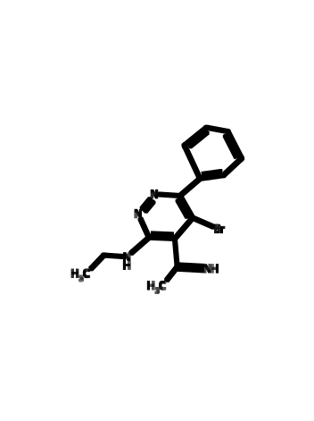 CCNc1nnc(-c2ccccc2)c(Br)c1C(C)=N